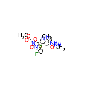 CNC(=O)Nc1ccc(-c2sc3c(c2CN(C)Cc2ccccn2)c(=O)n(CCC(=O)OC)c(=O)n3Cc2c(F)cccc2F)cc1